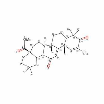 COC(=O)[C@]12CCC(C)(C)CC1C1C(=O)C=C3[C@@]4(C)C=C(C(F)(F)F)C(=O)C(C)(C)C4CC[C@@]3(C)[C@]1(C)CC2